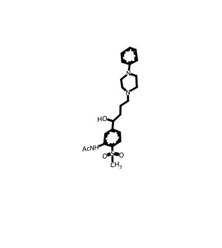 CC(=O)Nc1cc(C(O)CCCN2CCN(c3ccccc3)CC2)ccc1S(C)(=O)=O